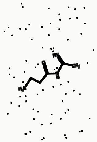 [CH2]C(=N)NC(=O)CCC